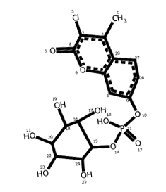 Cc1c(Cl)c(=O)oc2cc(OP(=O)(O)OC3C(O)C(O)C(O)C(O)C3O)ccc12